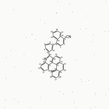 N#Cc1ccc(-c2cccc(-c3nc4ccccc4c4c3ccc3ccc5cccnc5c34)c2)c2ccccc12